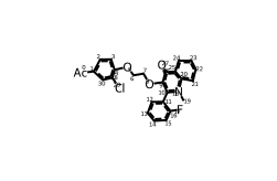 CC(=O)c1ccc(OCCOc2c(-c3ccccc3F)n(C)c3ccccc3c2=O)c(Cl)c1